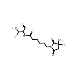 CC(C)C(C=O)NC(=O)CCCCCN1C(=O)CC(C)(C)C1=O